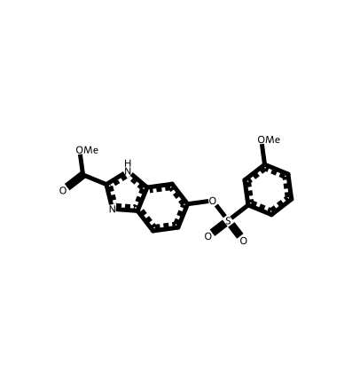 COC(=O)c1nc2ccc(OS(=O)(=O)c3cccc(OC)c3)cc2[nH]1